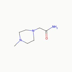 CN1CCN(CC(N)=O)CC1